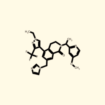 CCn1cc(-c2cc(Cn3ccnc3)cc3c2CCN(C(C)c2cc(OC)ccn2)C3=O)c(C(F)(F)F)n1